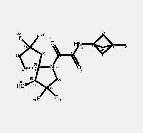 CC12CC(NC(=O)C(=O)N3CC(F)(F)[C@@H](O)[C@]34CCC(F)(F)C4)(C1)C2